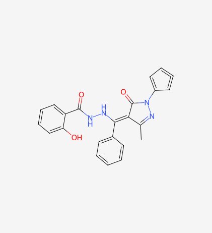 CC1=NN(C2=CC=C=C2)C(=O)/C1=C(\NNC(=O)c1ccccc1O)c1ccccc1